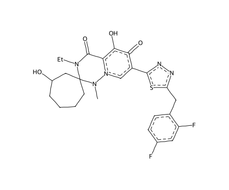 CCN1C(=O)c2c(O)c(=O)c(-c3nnc(Cc4ccc(F)cc4F)s3)cn2N(C)C12CCCCC(O)C2